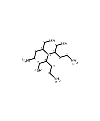 NCCC(CS)N(C(CS)CCN)C(CS)CCN